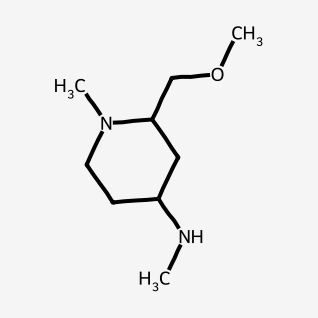 CNC1CCN(C)C(COC)C1